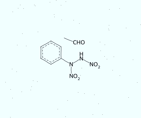 CC=O.O=[N+]([O-])NN(c1ccccc1)[N+](=O)[O-]